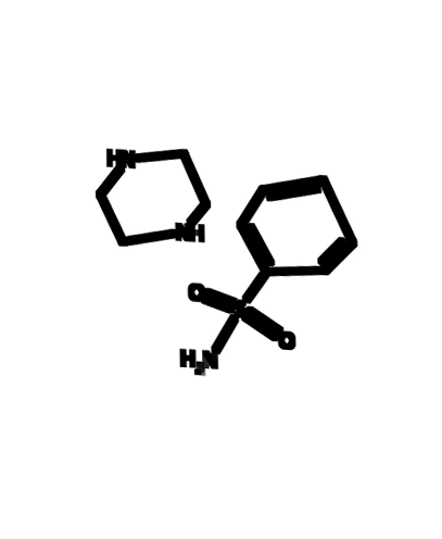 C1CNCCN1.NS(=O)(=O)c1ccccc1